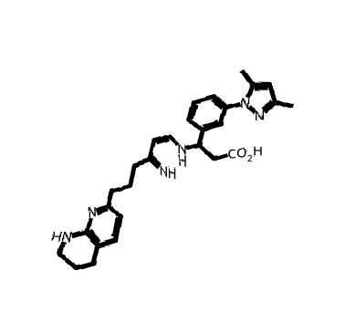 Cc1cc(C)n(-c2cccc(C(CC(=O)O)N/C=C\C(=N)CCCc3ccc4c(n3)NCCC4)c2)n1